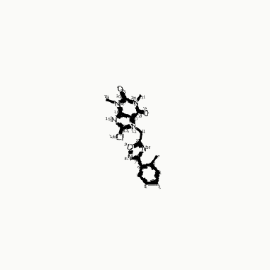 Cc1ccccc1-c1noc(Cn2c(Cl)nc3c2c(=O)n(C)c(=O)n3C)n1